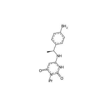 Bc1ccc([C@H](C)Nc2cc(=O)n(C(C)C)c(=O)[nH]2)cc1